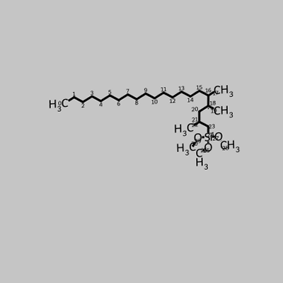 CCCCCCCCCCCCCCCCC(C)[C](C)CC(C)C[Si](OC)(OC)OC